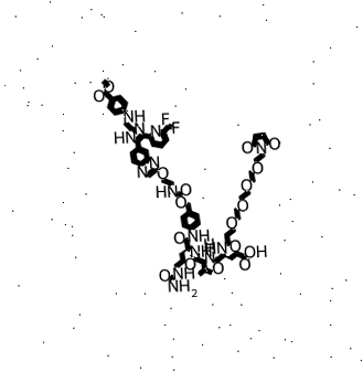 COC(=O)c1ccc(NCc2nc(-c3cccc(C(F)F)n3)c(-c3ccc4ncc(OCCNC(=O)OCc5ccc(NC(=O)[C@H](CCCNC(N)=O)NC(=O)[C@@H](NC(=O)[C@H](CCC(=O)O)NC(=O)CCOCCOCCOCCOCCN6C(=O)C=CC6=O)C(C)C)cc5)nc4c3)[nH]2)cc1